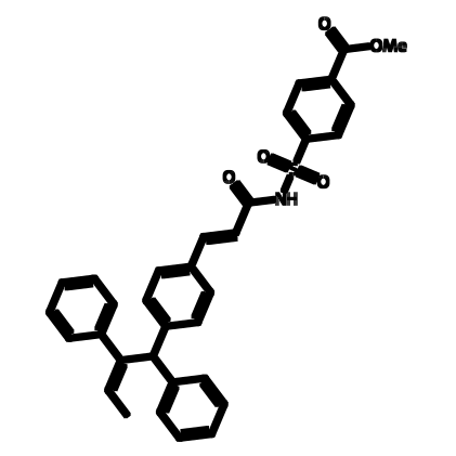 CC=C(c1ccccc1)C(c1ccccc1)c1ccc(C=CC(=O)NS(=O)(=O)c2ccc(C(=O)OC)cc2)cc1